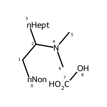 CCCCCCCCCCC(CCCCCCC)N(C)C.O=C(O)O